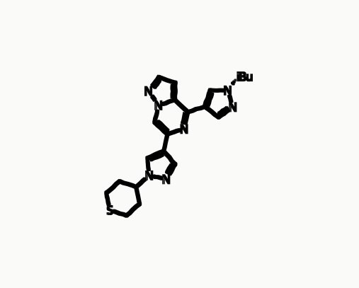 CC[C@@H](C)n1cc(-c2nc(-c3cnn(C4CCSCC4)c3)cn3nccc23)cn1